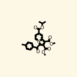 COC(=O)c1c(C(=O)OC)c2cc(C(=O)OC(C)C)ccn2c1C(=O)c1ccc(C)cc1